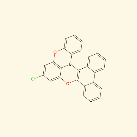 Clc1cc2c3c(c1)Oc1c(c4ccccc4c4ccccc14)B3c1ccccc1O2